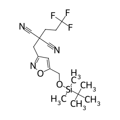 CC(C)(C)[Si](C)(C)OCc1cc(CC(C#N)(C#N)CCC(F)(F)F)no1